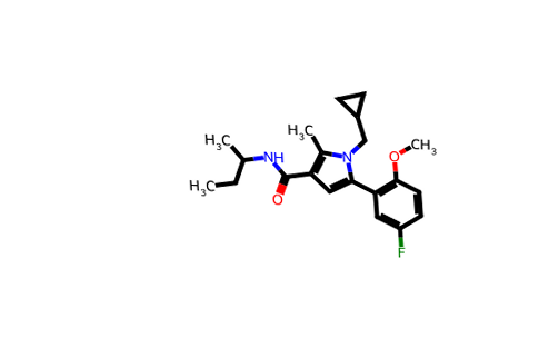 CCC(C)NC(=O)c1cc(-c2cc(F)ccc2OC)n(CC2CC2)c1C